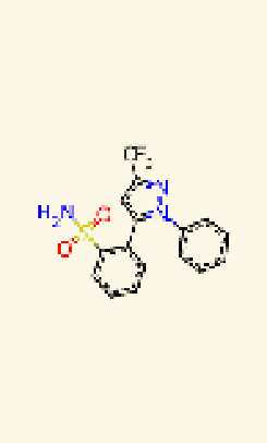 NS(=O)(=O)c1ccccc1-c1cc(C(F)(F)F)nn1-c1ccccc1